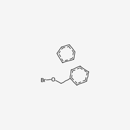 BrOCc1ccccc1.c1ccccc1